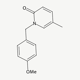 COc1ccc(Cn2cc(C)ccc2=O)cc1